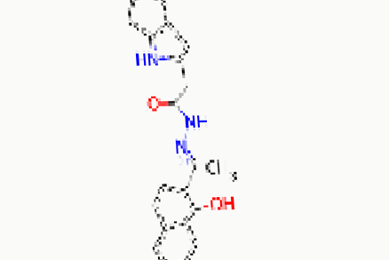 C/C(=N\NC(=O)Cc1cc2ccccc2[nH]1)c1ccc2ccccc2c1O